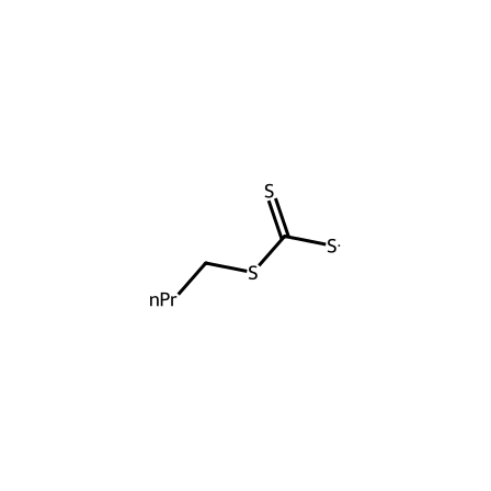 CCCCSC([S])=S